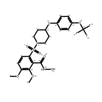 COc1ccc(S(=O)(=O)N2CCC(Oc3ccc(OC(F)(F)F)cc3)CC2)c(C(=O)NO)c1OC